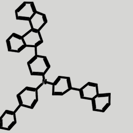 c1ccc(-c2ccc(N(c3ccc(-c4ccc5ccccc5c4)cc3)c3ccc(-c4cc5ccc6ccccc6c5c5ccccc45)cc3)cc2)cc1